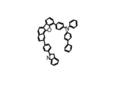 c1ccc(-c2ccc(N(c3ccccc3)c3ccc(-c4cccc5c4oc4c6cc(-c7ccc(C8=Nc9ccccc9C8)cc7)ccc6ccc54)cc3)cc2)cc1